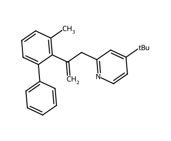 C=C(Cc1cc(C(C)(C)C)ccn1)c1c(C)cccc1-c1ccccc1